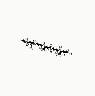 CCCNC(=O)C[C@H](N)C(=O)NCCCC(=O)NC(CCC(=O)NCCCC(=O)NC(CCC(=O)O)C(=O)O)C(=O)O